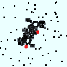 [C-]#[N+]C1=C[C@]2(C)[C@H]3CC(=O)[C@@H]4[C@@H]5CC(C)(C)CC[C@]5(C#C)CC[C@@]4(C)[C@]3(C)CC[C@H]2C(C)(C)C1=O